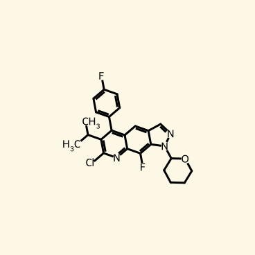 CC(C)c1c(Cl)nc2c(F)c3c(cnn3C3CCCCO3)cc2c1-c1ccc(F)cc1